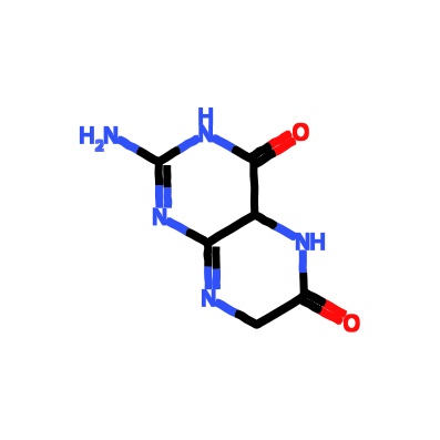 NC1=NC2=NCC(=O)NC2C(=O)N1